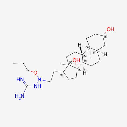 CCCON(CC[C@H]1CC[C@]2(O)[C@@H]3CC[C@@H]4C[C@@H](O)CC[C@]4(C)[C@H]3CC[C@]12C)NC(=N)N